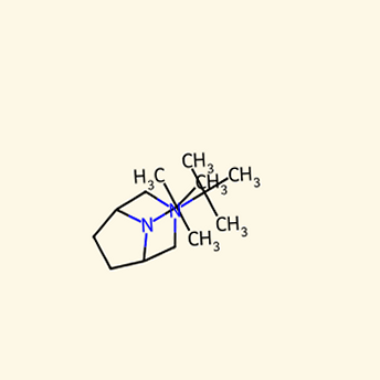 CC(C)(C)N1CC2CCC(C1)N2C(C)(C)C